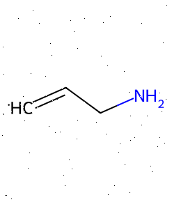 [CH]=CCN